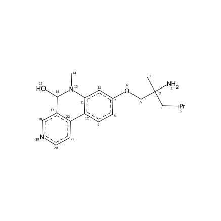 CC(C)CC(C)(N)COc1ccc2c(c1)N(C)C(O)c1cnccc1-2